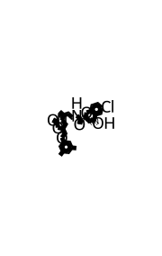 C=C(CCNC(=O)[C@H]1C[C@@H](O)c2cc(Cl)ccc2O1)N1CC(COc2cc(C)cc(C)c2)OC1=O